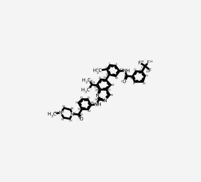 Cc1ccc(NC(=O)c2cccc(C(F)(F)F)c2)cc1-c1cc(C(C)C)c2nc(Nc3cccc(C(=O)N4CCN(C)CC4)c3)ncc2c1